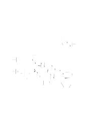 C=N/C(=N\c1c(C)nc(Nc2c(Cl)cccc2Cl)n1[C@H]1CC[C@@H](C(N)=O)CC1)N[C@@H](C)CO